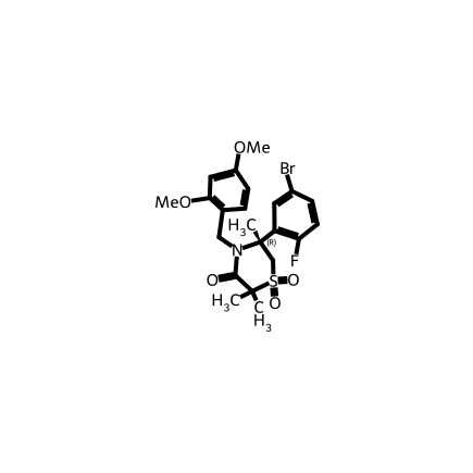 COc1ccc(CN2C(=O)C(C)(C)S(=O)(=O)C[C@@]2(C)c2cc(Br)ccc2F)c(OC)c1